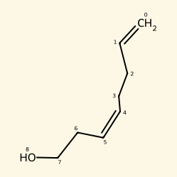 C=CCC/C=C\CCO